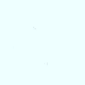 O=C(O)c1cccnc1Oc1c(Cl)cc(Cl)cc1Cl